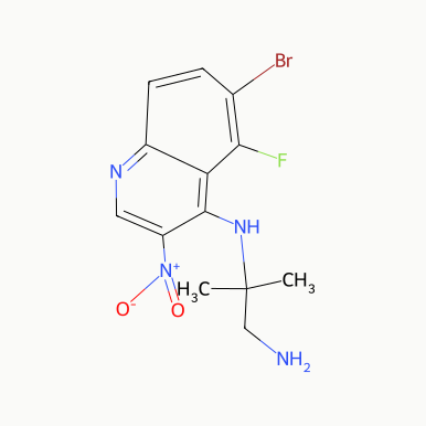 CC(C)(CN)Nc1c([N+](=O)[O-])cnc2ccc(Br)c(F)c12